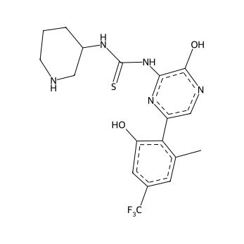 Cc1cc(C(F)(F)F)cc(O)c1-c1cnc(O)c(NC(=S)NC2CCCNC2)n1